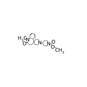 CCOC(=O)N1CCC(N2CCC3(CCC(=O)N(C)C4C=CC=CC43)CC2)CC1